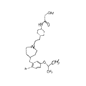 CC(C)Oc1ccc(Br)c(CC2CCN(CCC3CCC(NC(=O)CO)CC3)CC2)c1